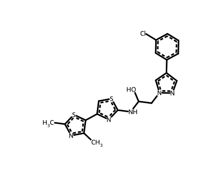 Cc1nc(C)c(-c2csc(NC(O)Cn3cc(-c4cccc(Cl)c4)cn3)n2)s1